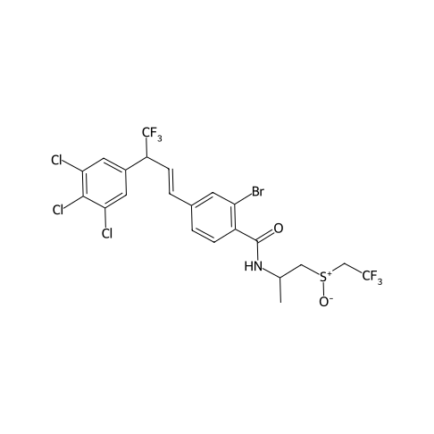 CC(C[S+]([O-])CC(F)(F)F)NC(=O)c1ccc(/C=C/C(c2cc(Cl)c(Cl)c(Cl)c2)C(F)(F)F)cc1Br